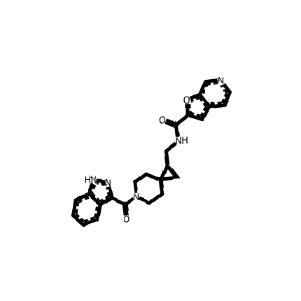 O=C(NCC1CC12CCN(C(=O)c1n[nH]c3ccccc13)CC2)c1cc2ccncc2o1